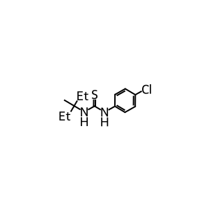 CCC(C)(CC)NC(=S)Nc1ccc(Cl)cc1